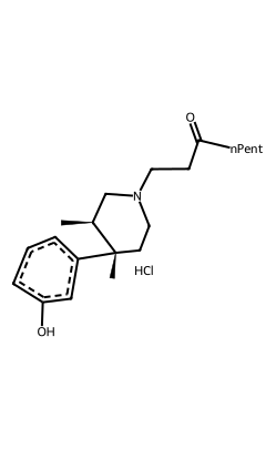 CCCCCC(=O)CCN1CC[C@](C)(c2cccc(O)c2)[C@@H](C)C1.Cl